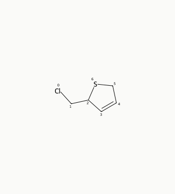 ClCC1C=CCS1